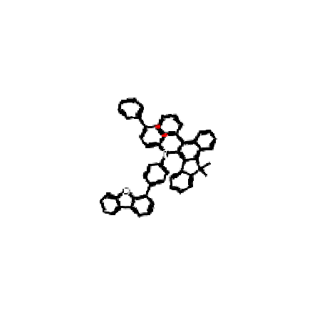 CC1(C)c2ccccc2-c2c(N(c3ccc(-c4ccccc4)cc3)c3ccc(-c4cccc5c4oc4ccccc45)cc3)c(-c3ccccc3)c3ccccc3c21